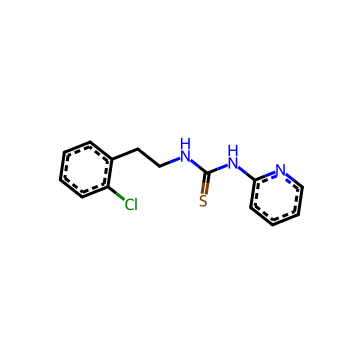 S=C(NCCc1ccccc1Cl)Nc1ccccn1